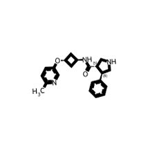 Cc1ccc(O[C@H]2C[C@H](NC(=O)[C@@H]3CNC[C@H]3c3ccccc3)C2)cn1